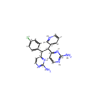 Nc1nccc(C(c2ccc(Cl)cc2)C(c2cccnc2)c2ccnc(N)n2)n1